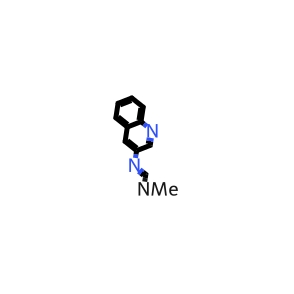 CN/C=N/c1cnc2ccccc2c1